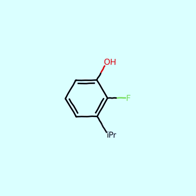 CC(C)c1cccc(O)c1F